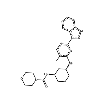 O=C(N[C@@H]1CCC[C@H](Nc2nc(-c3n[nH]c4ncccc34)ncc2F)C1)N1CCOCC1